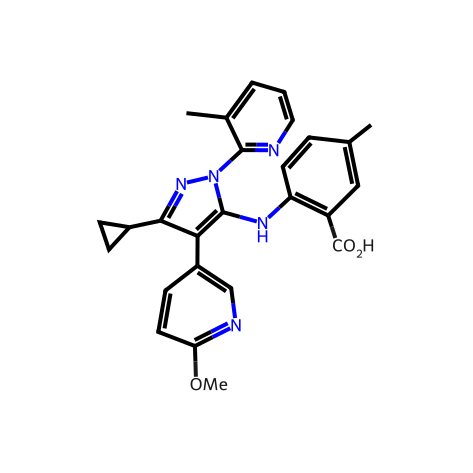 COc1ccc(-c2c(C3CC3)nn(-c3ncccc3C)c2Nc2ccc(C)cc2C(=O)O)cn1